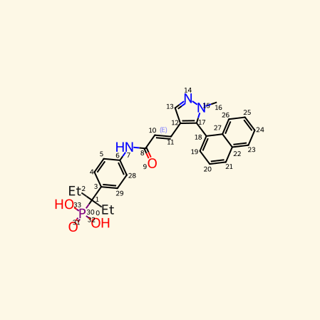 CCC(CC)(c1ccc(NC(=O)/C=C/c2cnn(C)c2-c2cccc3ccccc23)cc1)P(=O)(O)O